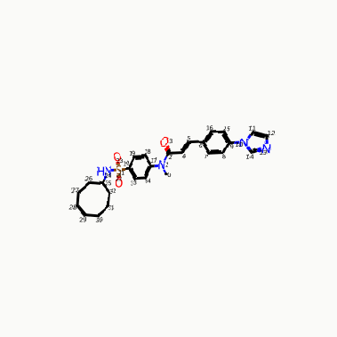 CN(C(=O)C=Cc1ccc(-n2ccnc2)cc1)c1ccc(S(=O)(=O)NC2CCCCCCC2)cc1